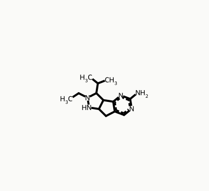 CCN1NC2Cc3cnc(N)nc3C2C1C(C)C